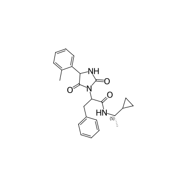 Cc1ccccc1C1NC(=O)N(C(Cc2ccccc2)C(=O)N[C@@H](C)C2CC2)C1=O